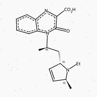 CCN1[C@@H](C[C@@H](C)n2c(=O)c(C(=O)O)nc3ccccc32)C=C[C@@H]1C